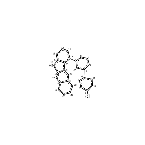 Clc1ccc(-c2cccc(-c3cccc4[nH]c5cc6ccccc6cc5c34)c2)cc1